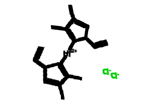 C=CC1C=C(C)C(C)=[C]1[Hf+2][C]1=C(C)C(C)=CC1C=C.[Cl-].[Cl-]